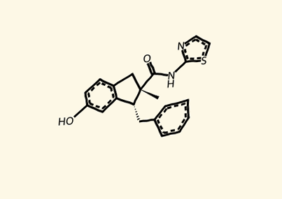 C[C@]1(C(=O)Nc2nccs2)Cc2ccc(O)cc2[C@H]1Cc1ccccc1